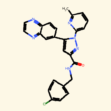 Cc1cccc(-n2nc(C(=O)NCc3ccc(Cl)cc3)cc2-c2ccc3nccnc3c2)n1